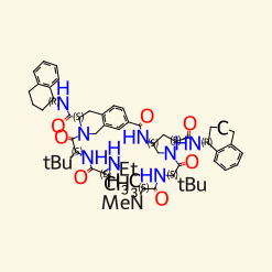 CCN[C@@H](C)C(=O)N[C@H](C(=O)N1Cc2cc(C(=O)N[C@H]3C[C@@H](C(=O)N[C@@H]4CCCc5ccccc54)N(C(=O)[C@@H](NC(=O)[C@H](C)NC)C(C)(C)C)C3)ccc2C[C@H]1C(=O)N[C@@H]1CCCc2ccccc21)C(C)(C)C